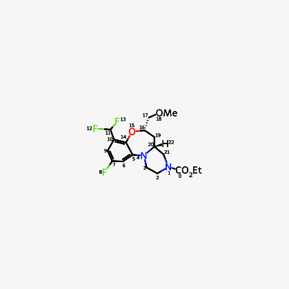 CCOC(=O)N1CCN2c3cc(F)cc(C(F)F)c3O[C@H](COC)C[C@@H]2C1